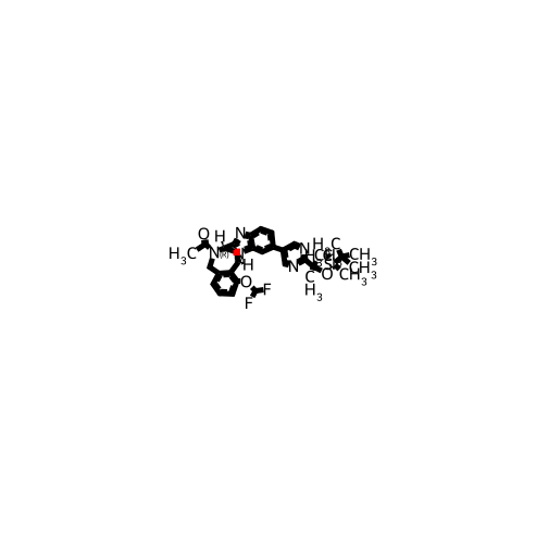 CC(=O)N1Cc2cccc(OC(F)F)c2[C@H]2C[C@@H]1c1nc3ccc(-c4cnc(C(C)(C)O[Si](C)(C)C(C)(C)C)nc4)cc3n12